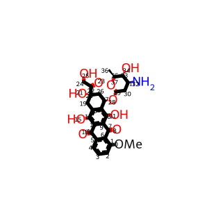 COc1cccc2c1C(=O)c1c(O)c3c(c(O)c1C2=O)C[C@@](O)(C(=O)CO)C[C@@H]3OC1C[C@H](N)[C@@H](O)[C@H](C)O1